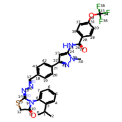 CC(C)c1ccccc1N1C(=O)CS/C1=N/N=C/c1ccc(-c2cc(NC(=O)c3ccc(OC(F)(F)F)cc3)n(C)n2)cc1